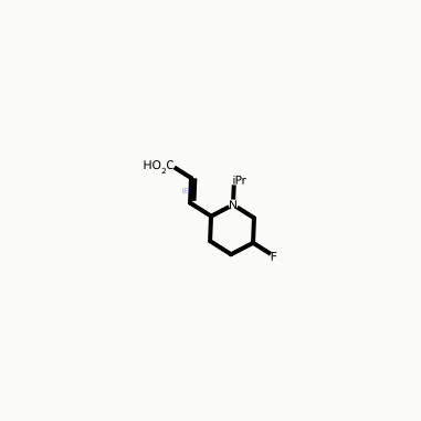 CC(C)N1CC(F)CCC1/C=C/C(=O)O